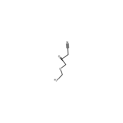 N#CCC(=O)COCP